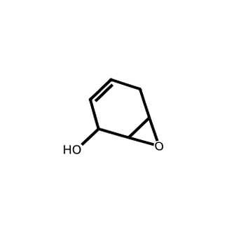 OC1C=CCC2OC12